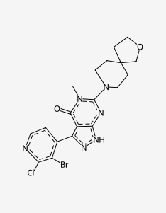 Cn1c(N2CCC3(CCOC3)CC2)nc2[nH]nc(-c3ccnc(Cl)c3Br)c2c1=O